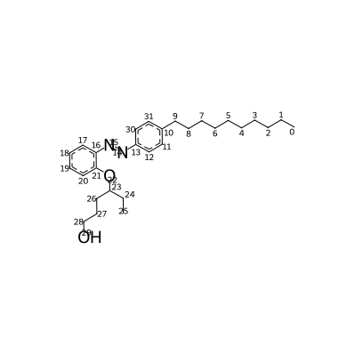 CCCCCCCCCCc1ccc(N=Nc2ccccc2OC(CC)CCCO)cc1